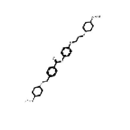 CCCCC[C@H]1CC[C@H](CCCOc2ccc(OC(=O)c3ccc(CC[C@H]4CC[C@H](CCCCC)CC4)cc3)cc2)CC1